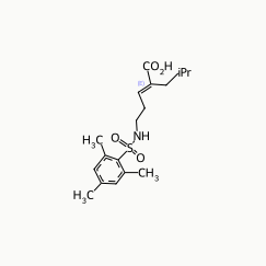 Cc1cc(C)c(S(=O)(=O)NCC/C=C(\CC(C)C)C(=O)O)c(C)c1